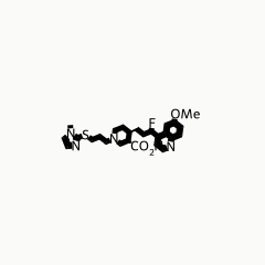 COc1ccc2nccc(C(F)CC[C@@H]3CCN(CCCSc4nccn4C)C[C@@H]3C(=O)O)c2c1